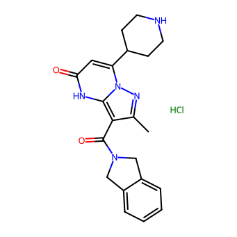 Cc1nn2c(C3CCNCC3)cc(=O)[nH]c2c1C(=O)N1Cc2ccccc2C1.Cl